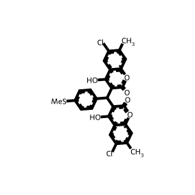 CSc1ccc(C(c2c(O)c3cc(Cl)c(C)cc3oc2=O)c2c(O)c3cc(Cl)c(C)cc3oc2=O)cc1